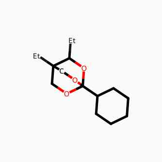 CCC1OC2(C3CCCCC3)OCC1(CC)CO2